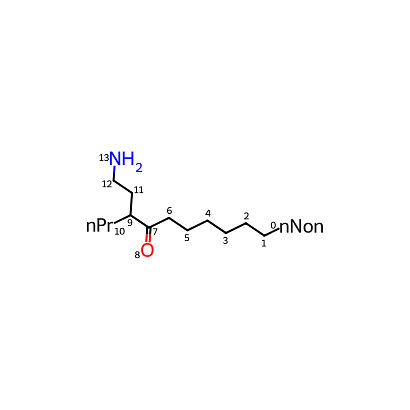 CCCCCCCCCCCCCCCC(=O)C(CCC)CCN